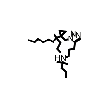 CCCCCCC(C)(CCC)C1(Cn2nncc2CCCNC(C)(C)CCC)CC1